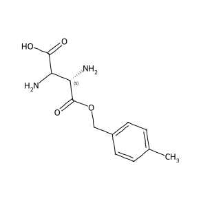 Cc1ccc(COC(=O)[C@@H](N)C(N)C(=O)O)cc1